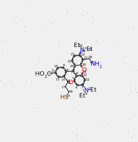 CCN(CC)c1ccc2c(-c3ccc(C(=O)O)cc3C(=O)CCS)c3ccc(=[N+](CC)CC)c(CN)c-3oc2c1